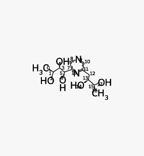 C[C@H](O)[C@@H](O)[C@H](O)c1cncc(C[C@H](O)[C@H](C)O)n1